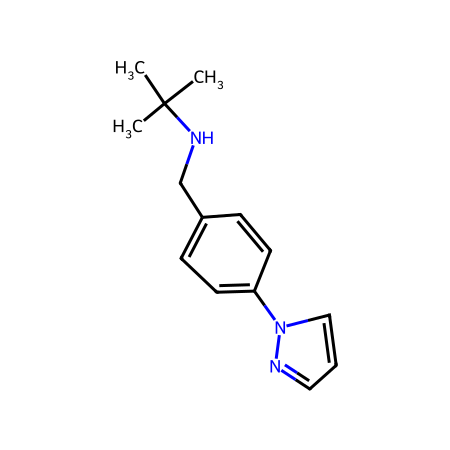 CC(C)(C)NCc1ccc(-n2cccn2)cc1